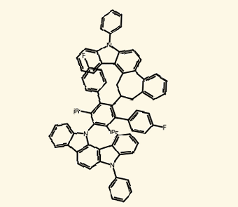 CC(C)c1c(-c2ccc(F)cc2)c(C2Cc3ccccc3-c3ccc4c(c3C2)c2ccccc2n4-c2ccccc2)c(-c2ccc(F)cc2)c(C(C)C)c1-n1c2ccccc2c2ccc3c(c4ccccc4n3-c3ccccc3)c21